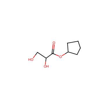 O=C(OC1CCCC1)C(O)CO